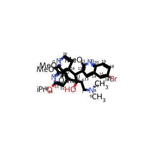 COc1cc(C(O)(CCN(C)C)C(c2cc3cc(Br)ccc3nc2OC)c2ccnc(OC)c2OC)cc(OC(C)C)n1